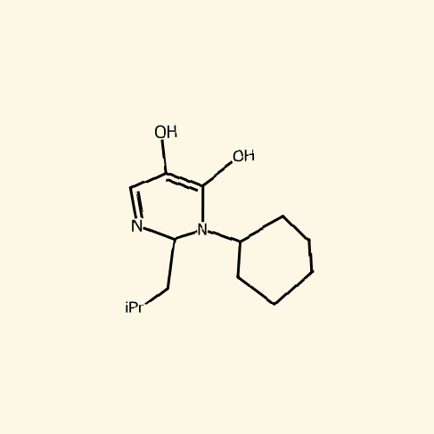 CC(C)CC1N=CC(O)=C(O)N1C1CCCCC1